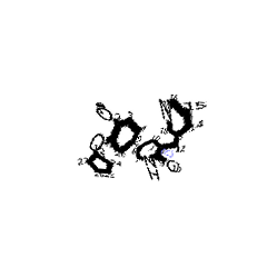 COc1ccc([C@H]2CNC(=O)/C(=C/c3cccnc3)C2)cc1OC1CCCC1